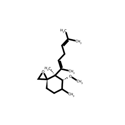 CO[C@@H]1C(C)CC[C@]2(CO2)[C@@]1(C)/C(C)=C/CC=C(C)C